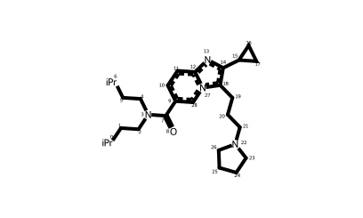 CC(C)CCN(CCC(C)C)C(=O)c1ccc2nc(C3CC3)c(CCCN3CCCC3)n2c1